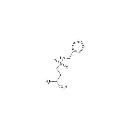 NC(CCS(=O)(=O)NCc1ccccc1)C(=O)O